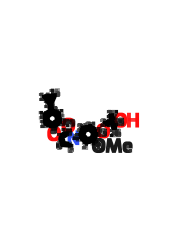 COc1cc(N2CCC(Oc3ccc(C4CC4)cc3)C2=O)ccc1OCC(C)(C)O